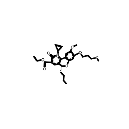 CCCC[C@H]1Oc2cc(OCCCOC)c(OC)cc2-c2c1cc(C(=O)OCC)c(=O)n2C1CC1